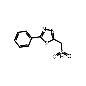 O=[SH](=O)Cc1nnc(-c2ccccc2)s1